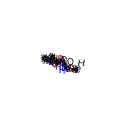 O=C(NC(Cc1c[nH]c2ccc(OCc3ccccc3)cc12)C(=O)O)c1ccc(OCCN(Cc2ccccc2)Cc2ccccc2)cc1